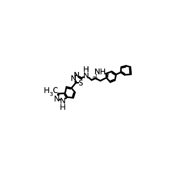 Cc1n[nH]c2ccc(-c3nnc(NC[C@H](N)Cc4ccc(-c5ccccc5)cc4)s3)cc12